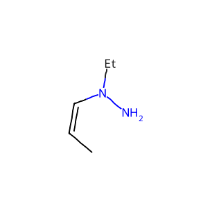 C/C=C\N(N)CC